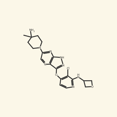 CC1(N)CCN(c2cnc3c(Oc4ccnc(NC5COC5)c4Cl)n[nH]c3n2)CC1